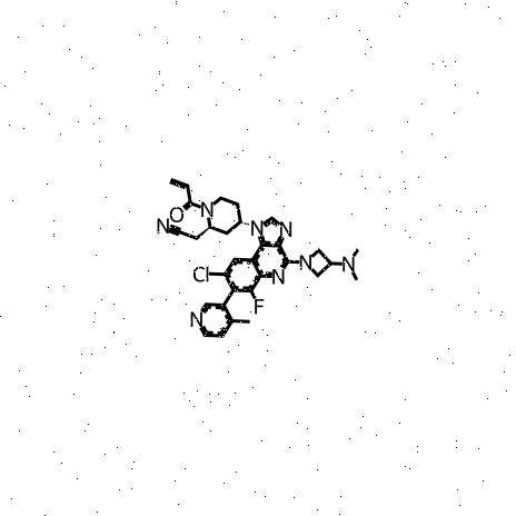 C=CC(=O)N1CC[C@H](n2cnc3c(N4CC(N(C)C)C4)nc4c(F)c(-c5cnccc5C)c(Cl)cc4c32)C[C@H]1CC#N